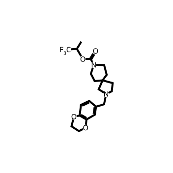 CC(OC(=O)N1CCC2(CCN(Cc3ccc4c(c3)OCCO4)C2)CC1)C(F)(F)F